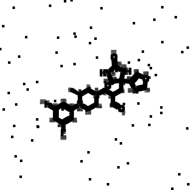 C[C@H]1CN(CC(C=O)CC2(c3cocn3)NC(=O)NC2=O)CCN1c1cc(F)cc(F)c1